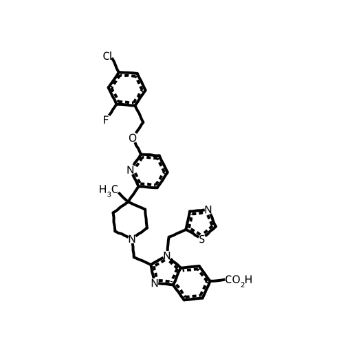 CC1(c2cccc(OCc3ccc(Cl)cc3F)n2)CCN(Cc2nc3ccc(C(=O)O)cc3n2Cc2cncs2)CC1